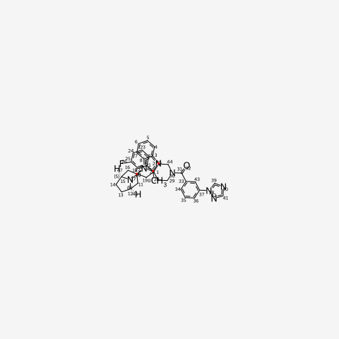 Cc1nc2ccccc2n1[C@H]1C[C@H]2CC[C@@H](C1)N2CCC1(c2cccc(F)c2)CCN(C(=O)c2cccc(-n3cncn3)c2)CC1